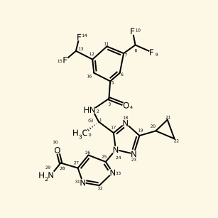 C[C@H](NC(=O)c1cc(C(F)F)cc(C(F)F)c1)c1nc(C2CC2)nn1-c1cc(C(N)=O)ncn1